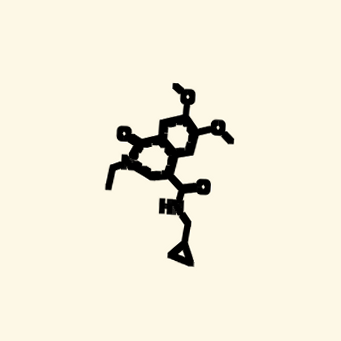 CCn1cc(C(=O)NCC2CC2)c2cc(OC)c(OC)cc2c1=O